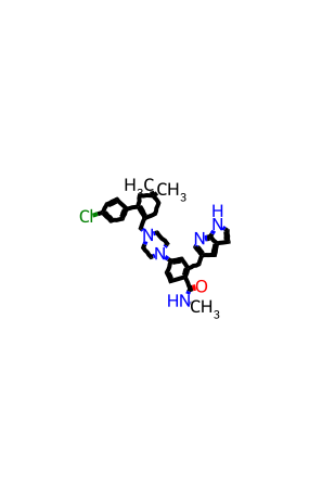 CNC(=O)c1ccc(N2CCN(CC3=C(c4ccc(Cl)cc4)CC(C)(C)CC3)CC2)cc1Cc1cnc2[nH]ccc2c1